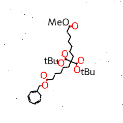 COC(=O)CCCCCCC(CCCCCC(=O)OCC1=CC=CC=CC1)(C(=O)OC(C)(C)C)C(=O)OC(C)(C)C